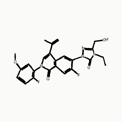 C=C(C)c1cn(-c2cc(OC)ccc2F)c(=O)c2cc(F)c(-n3nc(CO)n(CC)c3=O)cc12